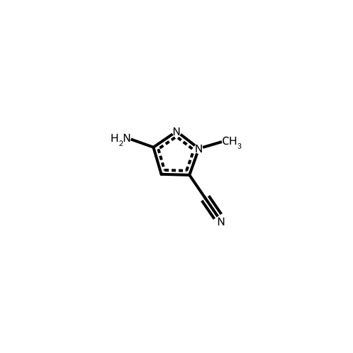 Cn1nc(N)cc1C#N